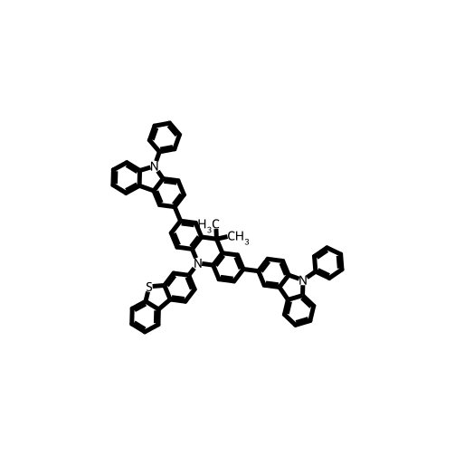 CC1(C)c2cc(-c3ccc4c(c3)c3ccccc3n4-c3ccccc3)ccc2N(c2ccc3c(c2)sc2ccccc23)c2ccc(-c3ccc4c(c3)c3ccccc3n4-c3ccccc3)cc21